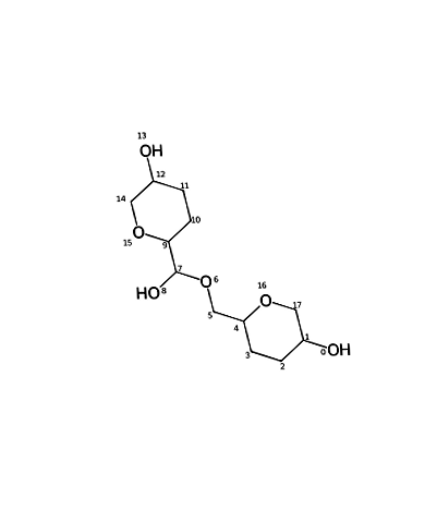 OC1CCC(COC(O)C2CCC(O)CO2)OC1